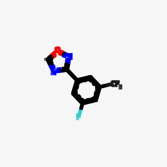 Fc1cc(-c2n[c]on2)cc(C(F)(F)F)c1